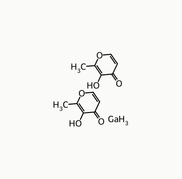 Cc1occc(=O)c1O.Cc1occc(=O)c1O.[GaH3]